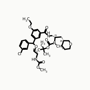 CCOc1cc(C(=O)NC[C@H](C[C@H]2CCCOC2)N(C)C(=O)OC(C)(C)C)cc(C(OCCNC(=O)OC)c2cccc(Cl)c2)c1